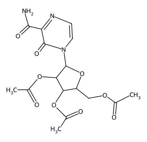 CC(=O)OCC1OC(n2ccnc(C(N)=O)c2=O)C(OC(C)=O)C1OC(C)=O